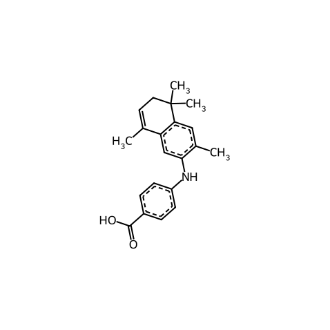 CC1=CCC(C)(C)c2cc(C)c(Nc3ccc(C(=O)O)cc3)cc21